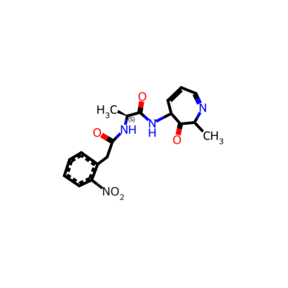 CC1N=CC=CC(NC(=O)[C@H](C)NC(=O)Cc2ccccc2[N+](=O)[O-])C1=O